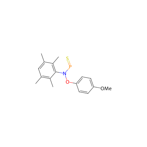 COc1ccc(ON(P=S)c2c(C)c(C)cc(C)c2C)cc1